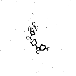 O=C1N[C@]2(CO1)C[C@H](C(=O)N1CCC(c3coc4cc(F)ccc34)CC1)C2